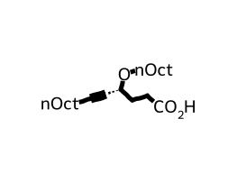 CCCCCCCCC#C[C@@H](CCC(=O)O)OCCCCCCCC